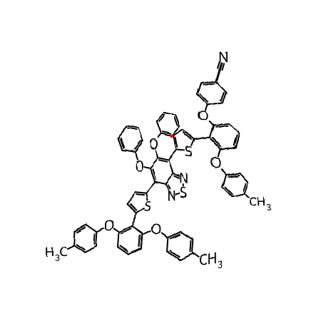 Cc1ccc(Oc2cccc(Oc3ccc(C)cc3)c2-c2ccc(-c3c(Oc4ccccc4)c(Oc4ccccc4)c(-c4ccc(-c5c(Oc6ccc(C)cc6)cccc5Oc5ccc(C#N)cc5)s4)c4nsnc34)s2)cc1